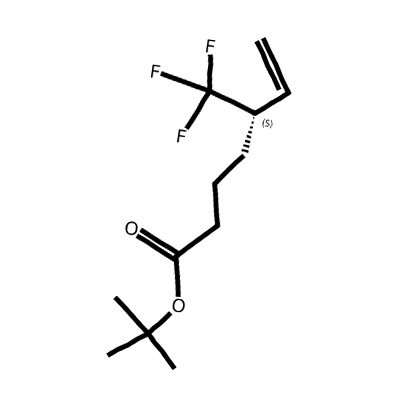 C=C[C@H](CCCC(=O)OC(C)(C)C)C(F)(F)F